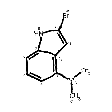 C[S+]([O-])c1cccc2[nH]c(Br)cc12